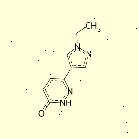 CCn1cc(-c2ccc(=O)[nH]n2)cn1